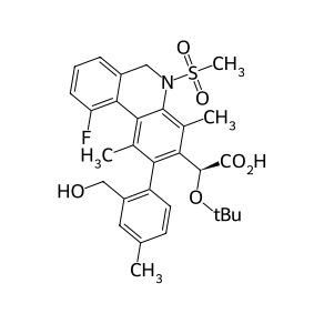 Cc1ccc(-c2c(C)c3c(c(C)c2[C@H](OC(C)(C)C)C(=O)O)N(S(C)(=O)=O)Cc2cccc(F)c2-3)c(CO)c1